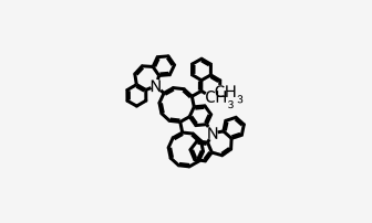 C/C=c1/cccc/c1=C(/C)c1ccc(N2C3=C(C=CCC3)C=Cc3ccccc32)cccc(-c2ccccccccc2)c2cc(N3c4ccccc4C=Cc4ccccc43)ccc12